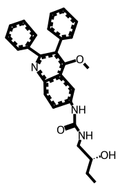 CC[C@@H](O)CNC(=O)Nc1ccc2nc(-c3ccccc3)c(-c3ccccc3)c(OC)c2c1